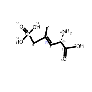 C/C(=C\[C@H](N)C(=O)O)CP(=O)(O)O